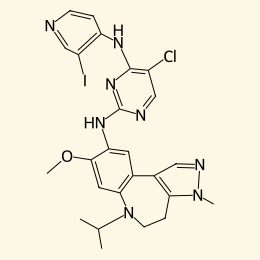 COc1cc2c(cc1Nc1ncc(Cl)c(Nc3ccncc3I)n1)-c1cnn(C)c1CCN2C(C)C